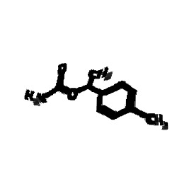 Cc1ccc(C(C)OC(N)=O)cc1